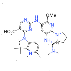 COc1nc(N2CCC[C@H]2CN(C)C)c(N)cc1Nc1ncc(C(=O)O)c(N2CC(C)(C)c3nc(C)ccc32)n1